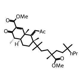 CCCC(C)(C)CC[C@@](C)(CCC(C)(C)[C@]1(C)CC[C@H]2[C@H](C)C(=O)C(C(=O)OC)=C[C@]2(C)/C1=C/C(C)=O)C(=O)OC